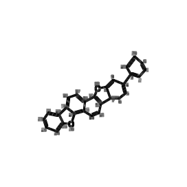 c1ccc(-c2ccc3c(c2)oc2c3ccc3c2ccc2c4ccccc4oc23)cc1